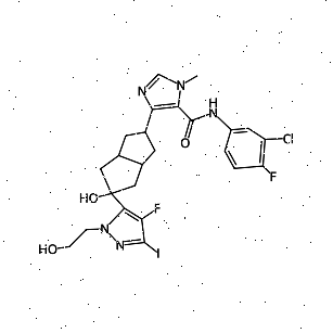 Cn1cnc(C2CC3CC(O)(c4c(F)c(I)nn4CCO)CC3C2)c1C(=O)Nc1ccc(F)c(Cl)c1